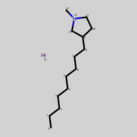 CCCCCCCCCC1CCN(C)C1.I